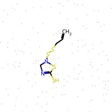 C=CCSSN1CN=C(S)S1